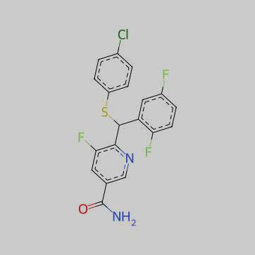 NC(=O)c1cnc(C(Sc2ccc(Cl)cc2)c2cc(F)ccc2F)c(F)c1